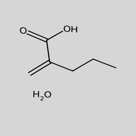 C=C(CCC)C(=O)O.O